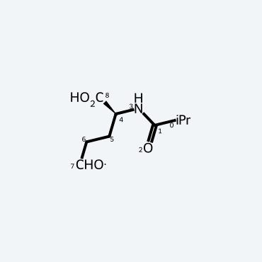 CC(C)C(=O)N[C@@H](CC[C]=O)C(=O)O